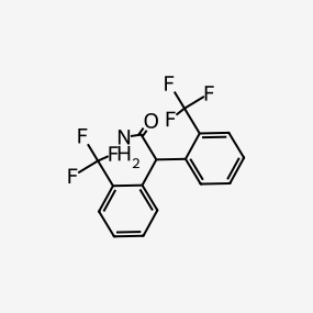 NC(=O)C(c1ccccc1C(F)(F)F)c1ccccc1C(F)(F)F